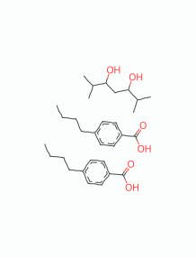 CC(C)C(O)CC(O)C(C)C.CCCCc1ccc(C(=O)O)cc1.CCCCc1ccc(C(=O)O)cc1